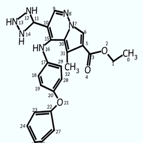 CCOC(=O)c1cn2ncc(C3NNN3)c(Nc3ccc(Oc4ccccc4)cc3)c2c1C